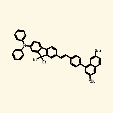 CCC1(CC)c2cc(/C=C/c3ccc(-c4cc(C(C)(C)C)cc5ccc(C(C)(C)C)cc45)cc3)ccc2-c2ccc(N(c3ccccc3)c3ccccc3)cc21